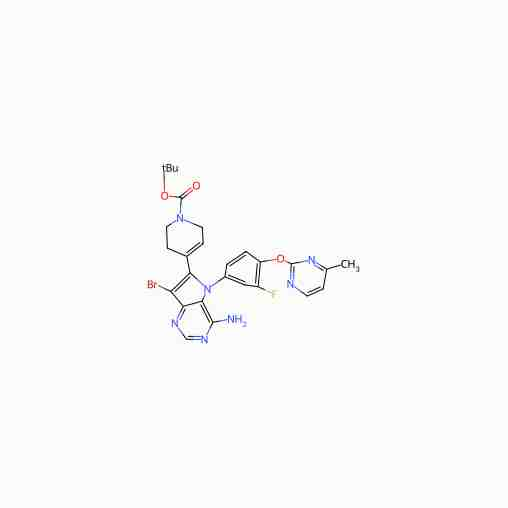 Cc1ccnc(Oc2ccc(-n3c(C4=CCN(C(=O)OC(C)(C)C)CC4)c(Br)c4ncnc(N)c43)cc2F)n1